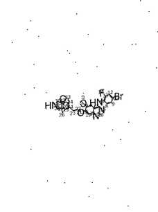 COc1cc2c(Nc3ccc(Br)cc3F)ncnc2cc1OCCCC1CC12CNCC21OCCO1